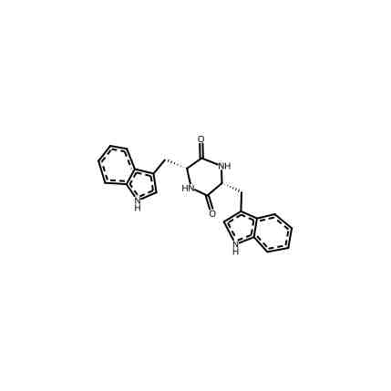 O=C1N[C@H](Cc2c[nH]c3ccccc23)C(=O)N[C@@H]1Cc1c[nH]c2ccccc12